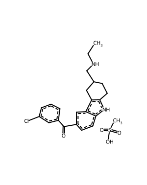 CCNCC1CCc2[nH]c3ccc(C(=O)c4cccc(Cl)c4)cc3c2C1.CS(=O)(=O)O